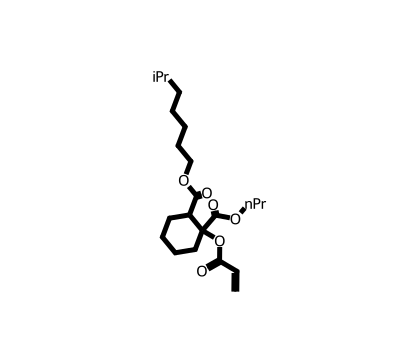 C=CC(=O)OC1(C(=O)OCCC)CCCCC1C(=O)OCCCCCC(C)C